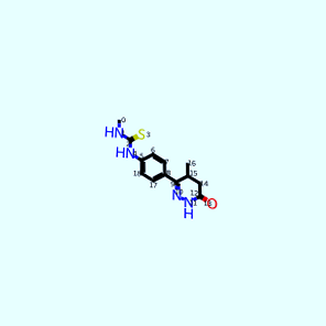 CNC(=S)Nc1ccc(C2=NNC(=O)CC2C)cc1